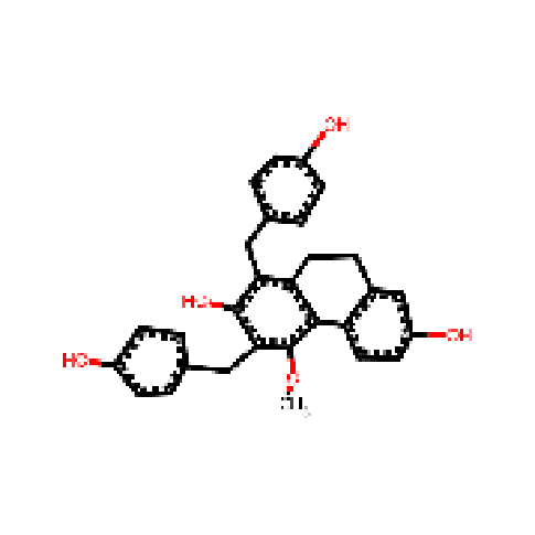 COc1c(Cc2ccc(O)cc2)c(O)c(Cc2ccc(O)cc2)c2c1-c1ccc(O)cc1CC2